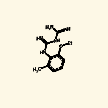 CCOc1cccc(C)c1NC(=N)NC(=N)N